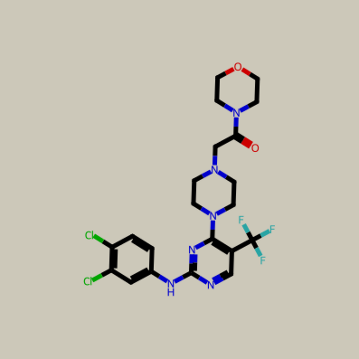 O=C(CN1CCN(c2nc(Nc3ccc(Cl)c(Cl)c3)ncc2C(F)(F)F)CC1)N1CCOCC1